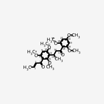 C/C=C/C(=O)c1c(OC)cc(OC)c(C(C)CC(=O)c2c(OC)cc(OC)cc2OC)c1OC